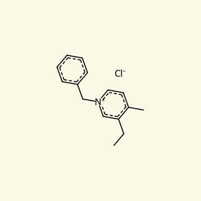 CCc1c[n+](Cc2ccccc2)ccc1C.[Cl-]